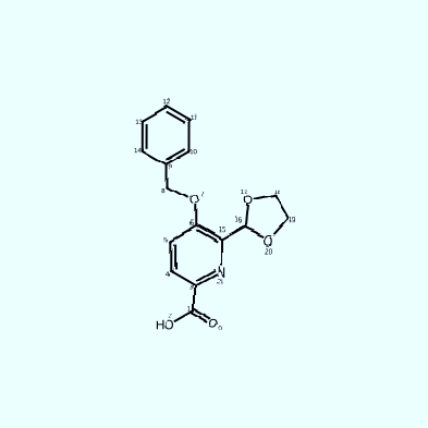 O=C(O)c1ccc(OCc2ccccc2)c(C2OCCO2)n1